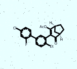 CCc1ccc(-c2ccc(Cl)cc2F)cc1C1=C(OC(C)=O)[C@H]2CC[C@H](C2)C1=O